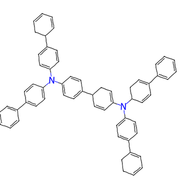 C1=CCCC(c2ccc(N(C3=CCC(c4ccc(N(c5ccc(-c6ccccc6)cc5)c5ccc(C6C=CC=CC6)cc5)cc4)C=C3)C3C=CC(c4ccccc4)=CC3)cc2)=C1